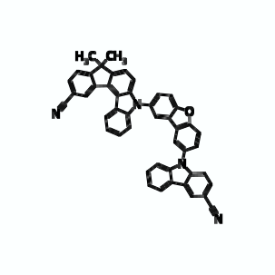 CC1(C)c2ccc(C#N)cc2-c2c1ccc1c2c2ccccc2n1-c1ccc2oc3ccc(-n4c5ccccc5c5cc(C#N)ccc54)cc3c2c1